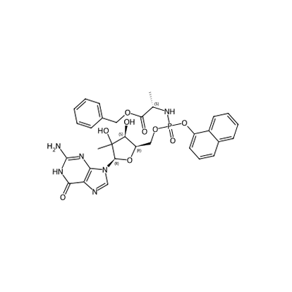 C[C@H](NP(=O)(OC[C@H]1O[C@@H](n2cnc3c(=O)[nH]c(N)nc32)C(C)(O)[C@H]1O)Oc1cccc2ccccc12)C(=O)OCc1ccccc1